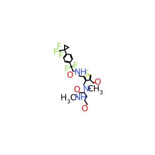 CNC(=O)C(CCC=O)N(C)Cc1c(C=O)csc1CNC(=O)C(F)(F)c1ccc(C2(C(F)(F)F)CC2)cc1